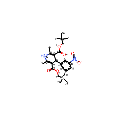 CC1=C(C(=O)OCC(C)(C)C)C(c2cccc([N+](=O)[O-])c2)C(C(=O)OC[Si](C)(C)C)=C(C)N1